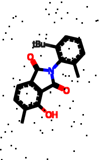 Cc1ccc2c(c1O)C(=O)N(c1c(C)cccc1C(C)(C)C)C2=O